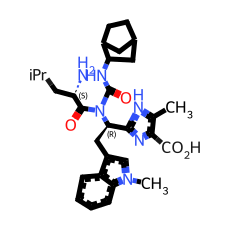 Cc1[nH]c([C@@H](Cc2cn(C)c3ccccc23)N(C(=O)NC2CC3CCC2C3)C(=O)[C@@H](N)CC(C)C)nc1C(=O)O